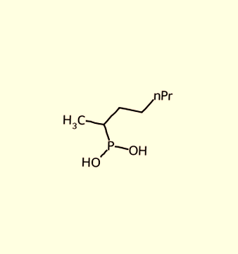 CCCCCC(C)P(O)O